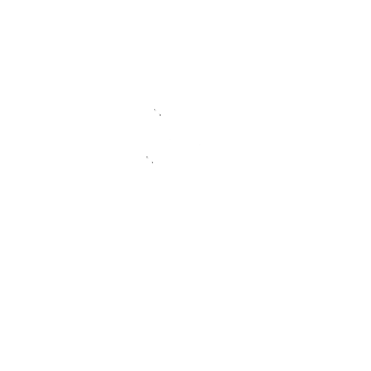 Clc1ccc(C2(c3ncc[nH]3)OCCO2)c(Cl)c1